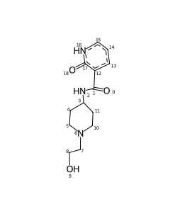 O=C(NC1CCN(CCO)CC1)c1ccc[nH]c1=O